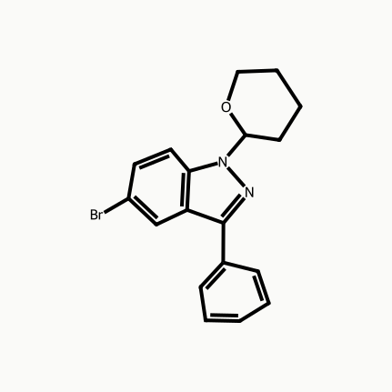 Brc1ccc2c(c1)c(-c1ccccc1)nn2C1CCCCO1